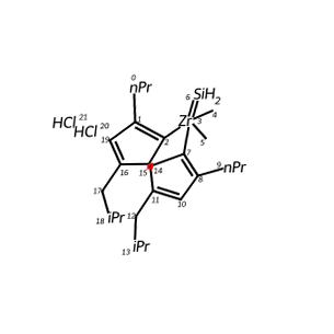 CCCC1=[C]([Zr]([CH3])([CH3])(=[SiH2])[C]2=C(CCC)C=C(CC(C)C)C2)CC(CC(C)C)=C1.Cl.Cl